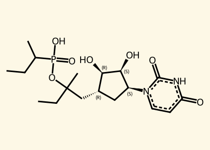 CCC(C)P(=O)(O)OC(C)(CC)C[C@H]1C[C@H](n2ccc(=O)[nH]c2=O)[C@H](O)[C@@H]1O